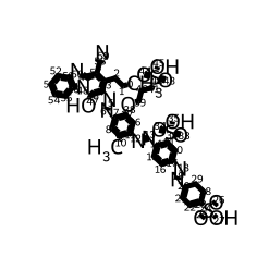 CCCc1c(N=Nc2cc(C)c(N=Nc3ccc(N=NC4=CC=C(S(=O)(=O)O)CC4)cc3S(=O)(=O)O)cc2OCCCS(=O)(=O)O)c(O)n2c(nc3ccccc32)c1C#N